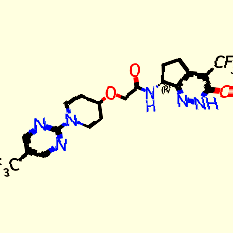 O=C(COC1CCN(c2ncc(C(F)(F)F)cn2)CC1)N[C@@H]1CCc2c1n[nH]c(=O)c2C(F)(F)F